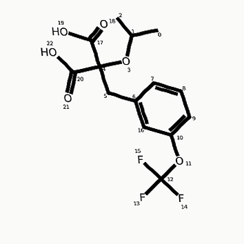 CC(C)OC(Cc1cccc(OC(F)(F)F)c1)(C(=O)O)C(=O)O